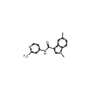 Cc1ccc2c(c1)c(C(=O)Nc1ccnc(C(F)(F)F)c1)cn2C